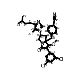 COC1=C(c2cc(Cl)cc(Cl)c2)C(=O)N2C[C@@H](n3cnc(CCC(C)C)c3I)CC12Cc1ccc(C#N)cc1